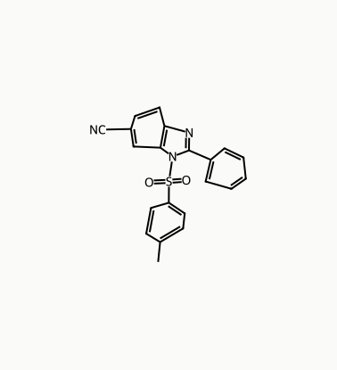 Cc1ccc(S(=O)(=O)n2c(-c3ccccc3)nc3ccc(C#N)cc32)cc1